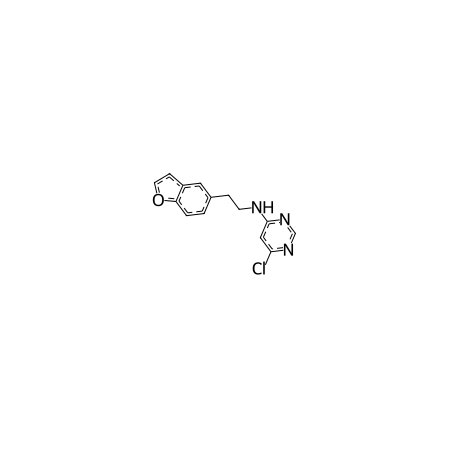 Clc1cc(NCCc2ccc3occc3c2)ncn1